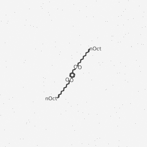 CCCCCCCCC=CCCCCCCCC(=O)OCCc1ccc(OC(=O)CCCCCCCC=CCCCCCCCC)cc1